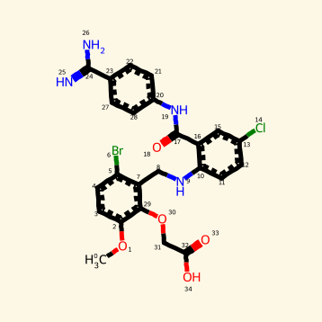 COc1ccc(Br)c(CNc2ccc(Cl)cc2C(=O)Nc2ccc(C(=N)N)cc2)c1OCC(=O)O